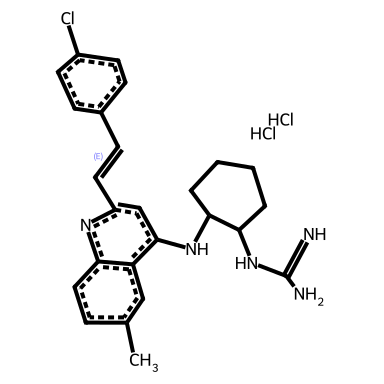 Cc1ccc2nc(/C=C/c3ccc(Cl)cc3)cc(NC3CCCCC3NC(=N)N)c2c1.Cl.Cl